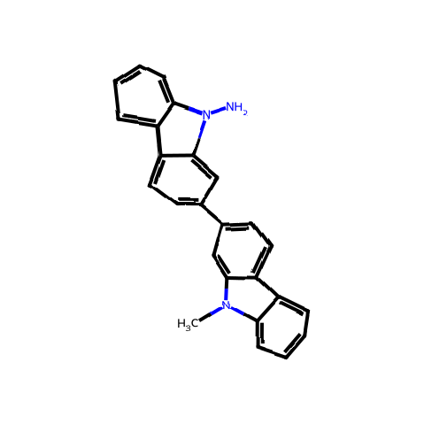 Cn1c2ccccc2c2ccc(-c3ccc4c5ccccc5n(N)c4c3)cc21